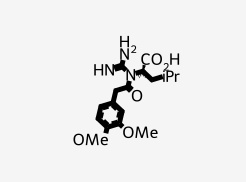 COc1ccc(CC(=O)N(C(=N)N)[C@H](CC(C)C)C(=O)O)cc1OC